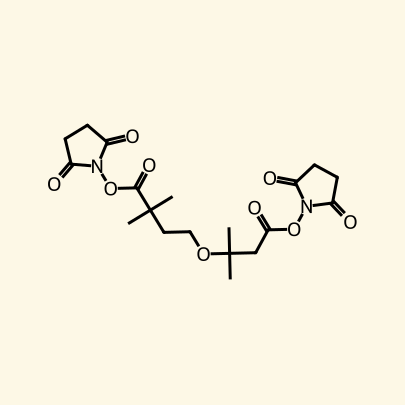 CC(C)(CC(=O)ON1C(=O)CCC1=O)OCCC(C)(C)C(=O)ON1C(=O)CCC1=O